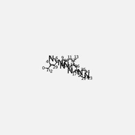 CC(C)c1cncc(-n2cc(C[C@@H](C)c3cncc(N4CCN(C)CC4)c3)nn2)c1